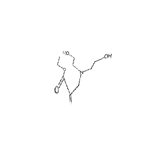 C=C(CN(CCO)CCO)C(=O)OCC